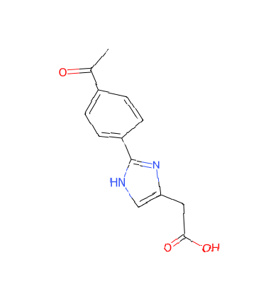 CC(=O)c1ccc(-c2nc(CC(=O)O)c[nH]2)cc1